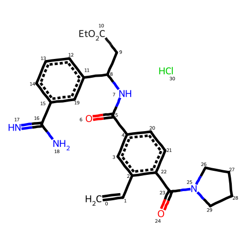 C=Cc1cc(C(=O)NC(CC(=O)OCC)c2cccc(C(=N)N)c2)ccc1C(=O)N1CCCC1.Cl